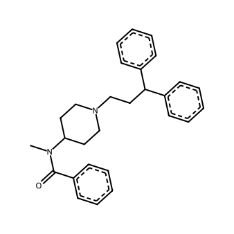 CN(C(=O)c1ccccc1)C1CCN(CCC(c2ccccc2)c2ccccc2)CC1